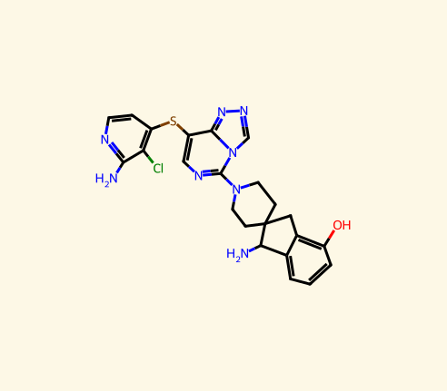 Nc1nccc(Sc2cnc(N3CCC4(CC3)Cc3c(O)cccc3C4N)n3cnnc23)c1Cl